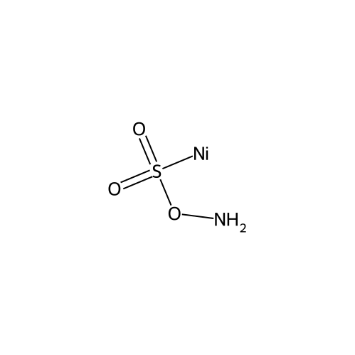 NO[S](=O)(=O)[Ni]